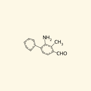 Cc1c(C=O)ccc(-c2ccccc2)c1N